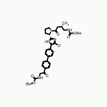 COC(=O)NC[C@@H](C)CC(=O)N1CCC[C@H]1c1nc(Cl)c(-c2ccc(-c3ccc(C(=O)CNC(=O)OC(C)(C)C)cc3)cc2)[nH]1